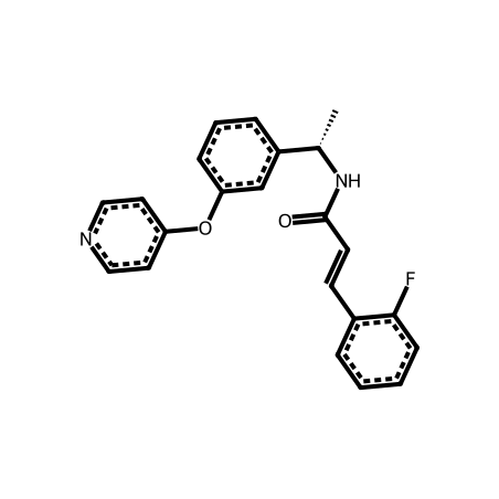 C[C@H](NC(=O)C=Cc1ccccc1F)c1cccc(Oc2ccncc2)c1